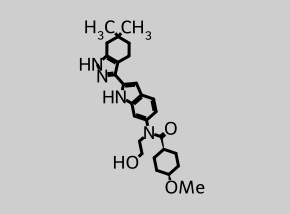 CO[C@H]1CC[C@@H](C(=O)N(CCO)c2ccc3cc(-c4n[nH]c5c4CCC(C)(C)C5)[nH]c3c2)CC1